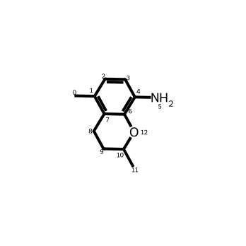 Cc1ccc(N)c2c1CCC(C)O2